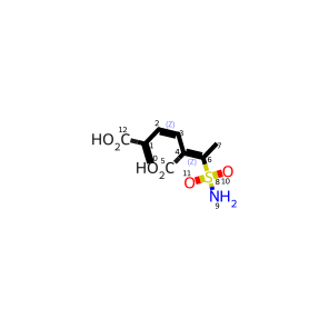 C=C(/C=C\C(C(=O)O)=C(/C)S(N)(=O)=O)C(=O)O